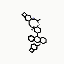 CC1/C=C2/CC3CCC3=CC2CC[C@H]2CC(C3c4ccccc4C[C@@]4(Cc5ccc6c(c5)CC6)CCCCC34)CCC2S1